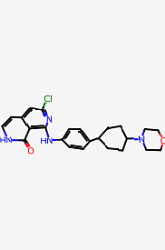 O=c1[nH]ccc2cc(Cl)nc(Nc3ccc(C4CCC(N5CCOCC5)CC4)cc3)c12